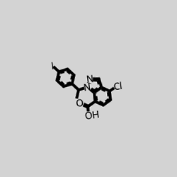 CC(c1ccc(I)cc1)n1ncc2c(Cl)ccc(C(=O)O)c21